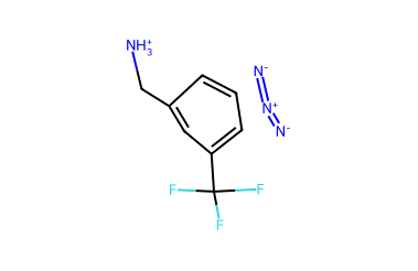 [N-]=[N+]=[N-].[NH3+]Cc1cccc(C(F)(F)F)c1